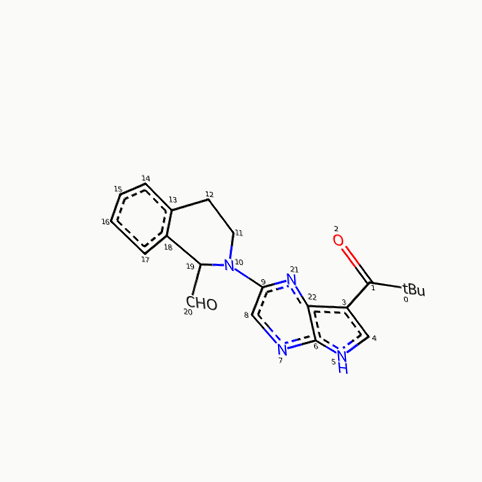 CC(C)(C)C(=O)c1c[nH]c2ncc(N3CCc4ccccc4C3C=O)nc12